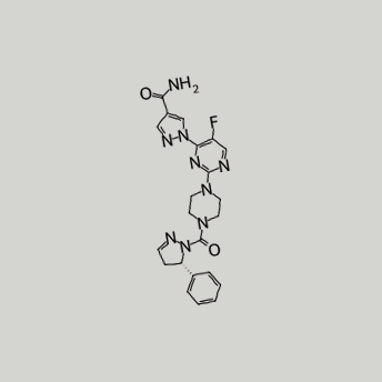 NC(=O)c1cnn(-c2nc(N3CCN(C(=O)N4N=CC[C@H]4c4ccccc4)CC3)ncc2F)c1